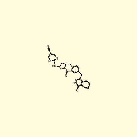 N#Cc1cnc(NC2CCN(C(=O)c3cc(Cc4n[nH]c(=O)c5ccccc45)ccc3F)C2)nc1